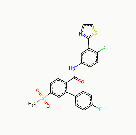 CS(=O)(=O)c1ccc(C(=O)Nc2ccc(Cl)c(-c3nccs3)c2)c(-c2ccc(F)cc2)c1